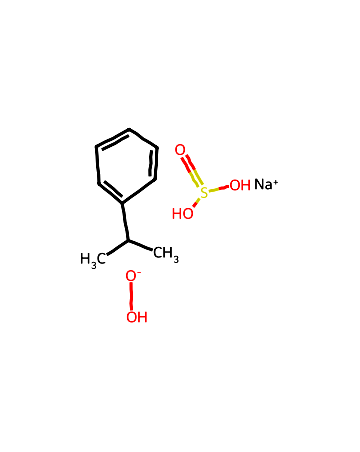 CC(C)c1ccccc1.O=S(O)O.[Na+].[O-]O